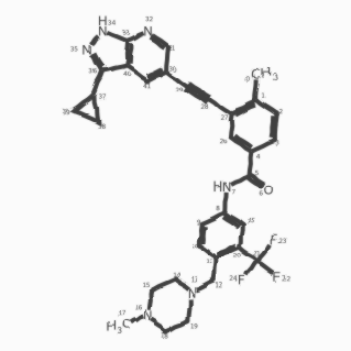 Cc1ccc(C(=O)Nc2ccc(CN3CCN(C)CC3)c(C(F)(F)F)c2)cc1C#Cc1cnc2[nH]nc(C3CC3)c2c1